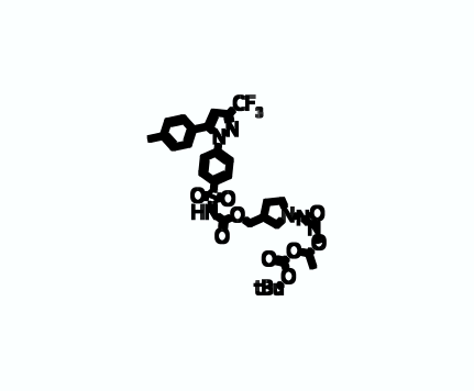 Cc1ccc(-c2cc(C(F)(F)F)nn2-c2ccc(S(=O)(=O)NC(=O)OCC3CCN(n4on4OC(C)OC(=O)OC(C)(C)C)C3)cc2)cc1